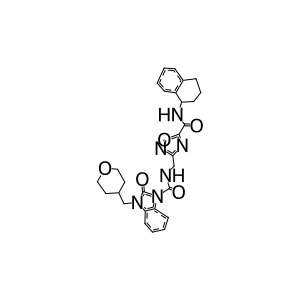 O=C(NC1CCCc2ccccc21)c1nc(CNC(=O)n2c(=O)n(CC3CCOCC3)c3ccccc32)no1